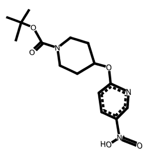 CC(C)(C)OC(=O)N1CCC(Oc2ccc([N+](=O)O)cn2)CC1